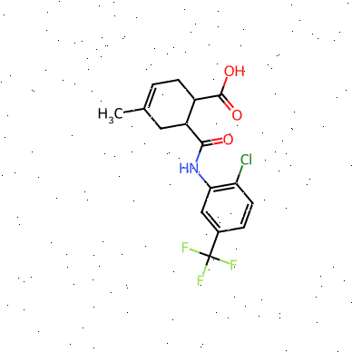 CC1=CCC(C(=O)O)C(C(=O)Nc2cc(C(F)(F)F)ccc2Cl)C1